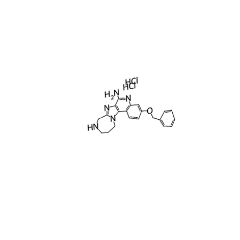 Cl.Cl.Nc1nc2cc(OCc3ccccc3)ccc2c2c1nc1n2CCCNC1